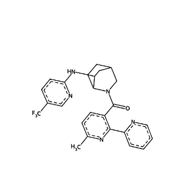 Cc1ccc(C(=O)N2CC3CCC2C(Nc2ccc(C(F)(F)F)cn2)C3)c(-c2ccccn2)n1